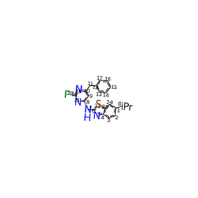 CC(C)c1ccc2nc(Nc3cc(Cc4ccccc4)nc(F)n3)sc2c1